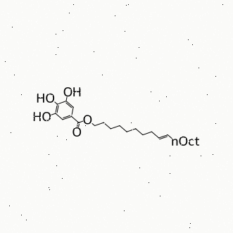 CCCCCCCCC=CCCCCCCCCOC(=O)c1cc(O)c(O)c(O)c1